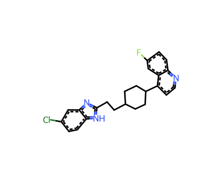 Fc1ccc2nccc(C3CCC(CCc4nc5cc(Cl)ccc5[nH]4)CC3)c2c1